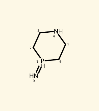 N=[PH]1CCNCC1